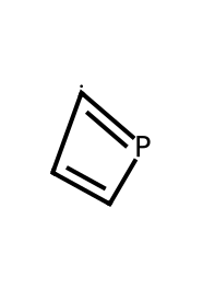 [C]1=PC=C1